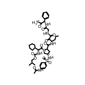 CCCC(NC(=O)C1C[C@H](NS(=O)(=O)c2ccc(NC(C)=O)cc2)CN1C(=O)[C@@H](NC(=O)OCC(C)C)C1CCCCC1)C(=O)C(=O)NCC(=O)N[C@H](C(N)=O)c1ccccc1